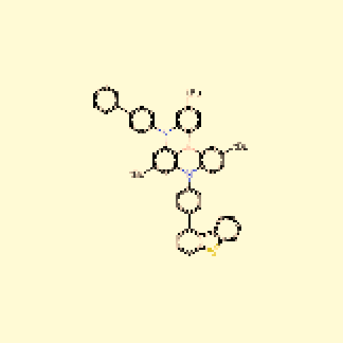 CC(C)(C)c1ccc2c(c1)B1c3ccc(C(C)(C)C)cc3N(c3ccc(-c4ccccc4)cc3)c3cc(C(C)(C)C)cc(c31)N2c1ccc(-c2cccc3sc4ccccc4c23)cc1